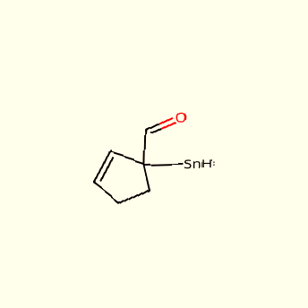 O=C[C]1([SnH])C=CCC1